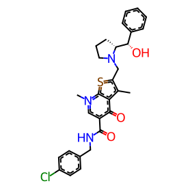 Cc1c(CN2CCC[C@@H]2[C@@H](O)c2ccccc2)sc2c1c(=O)c(C(=O)NCc1ccc(Cl)cc1)cn2C